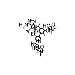 CCOc1c(C(C)n2nc(C3CC3)c3c(N)ncnc32)cc(Cl)c(C)c1-c1ccc(C(=O)N(C)C)nc1.O=C(O)C(F)(F)F.O=C(O)C(F)(F)F